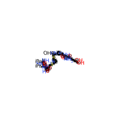 CC[C@H](C)[C@H](NC(=O)[C@H](CC(C)C)NC(=O)C1(NC(=O)CCSCc2cccc(CSCC(C=O)CNC3CCN(CC(=O)N[C@H](CCC(=O)NCCCC[C@H](O)CO)C(N)=O)CC3)n2)CCOCC1)C(N)=O